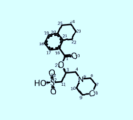 O=C(OC(CN1CCOCC1)CS(=O)(=O)O)c1cccc2c1CCCC2